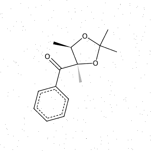 C[C@H]1OC(C)(C)O[C@@]1(C)C(=O)c1ccccc1